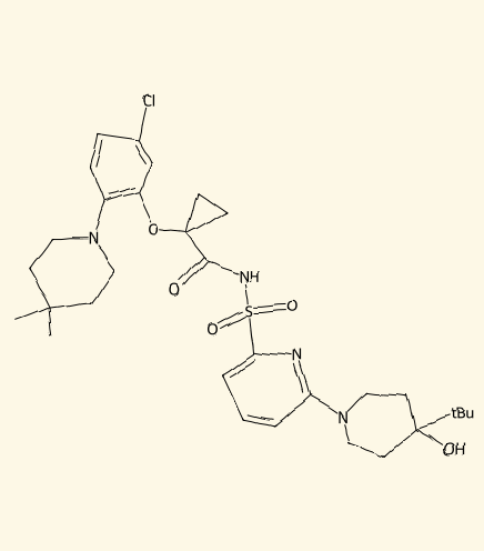 CC1(C)CCN(c2ccc(Cl)cc2OC2(C(=O)NS(=O)(=O)c3cccc(N4CCC(O)(C(C)(C)C)CC4)n3)CC2)CC1